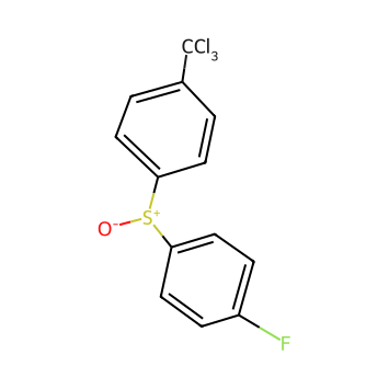 [O-][S+](c1ccc(F)cc1)c1ccc(C(Cl)(Cl)Cl)cc1